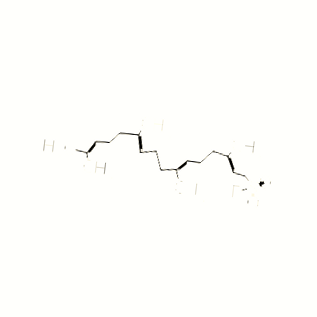 CC(C)=CCCC(C)=CCCC(C)=CCCC(C)=CCS(=O)(=O)F